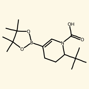 CC(C)(C)C1CCC(B2OC(C)(C)C(C)(C)O2)=CN1C(=O)O